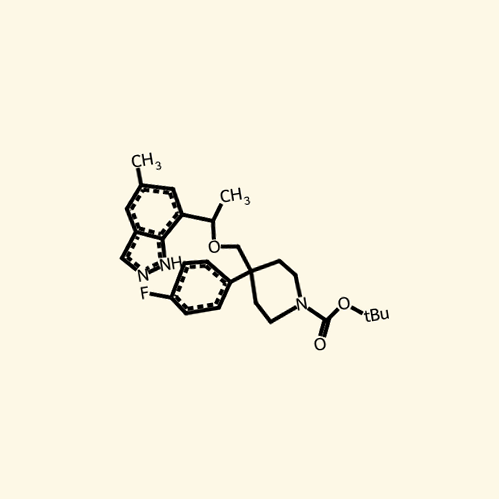 Cc1cc(C(C)OCC2(c3ccc(F)cc3)CCN(C(=O)OC(C)(C)C)CC2)c2[nH]ncc2c1